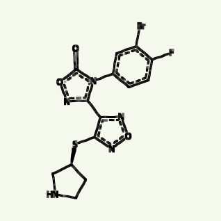 O=c1onc(-c2nonc2S[C@H]2CCNC2)n1-c1ccc(F)c(Br)c1